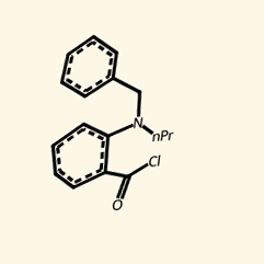 CCCN(Cc1ccccc1)c1ccccc1C(=O)Cl